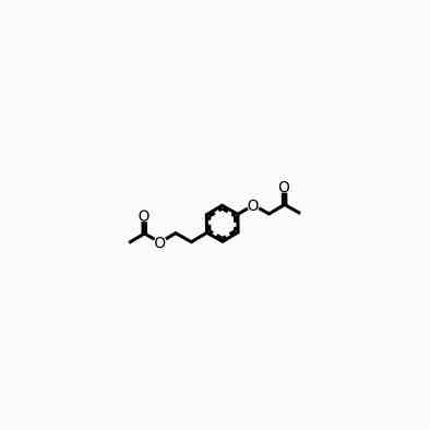 CC(=O)COc1ccc(CCOC(C)=O)cc1